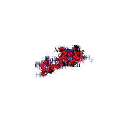 CC[C@H](C)C(NC(=O)[C@H](CC(N)=O)NC(=O)O)C(=O)N[C@@H](Cc1c[nH]cn1)C(=O)CN1CCC[C@H]1C(=O)C(=O)[C@H](CCCCN)NCC(=O)[C@H](C)NCN1CCC[C@H]1C(=O)NC(C(=O)C(=O)C(Cc1c(Cc2c(OC)cc(OC)cc2OC)[nH]c2ccccc12)NC(=O)CNNC(C(=O)C(=O)C(NC(=O)[C@@H](NC(=O)[C@H](CO)NN[C@@H](CC(N)=O)C(=O)C(=O)[C@H](Cc1ccccc1)NN)[C@@H](C)O)[C@@H](C)CC)[C@@H](C)CC)[C@@H](C)CC